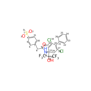 CS(=O)(=O)c1ccc(CC(=O)NC2(C(O)(C(F)(F)F)C(F)(F)F)C=C(Cl)C(c3ccccc3)=C(Cl)C2)cc1